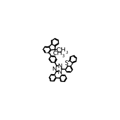 CC1(C)c2ccccc2-c2cccc(-c3ccc(-c4nc(-c5ccccc5-c5ccccc5)nc(-c5cccc6c5sc5ccccc56)n4)cc3)c21